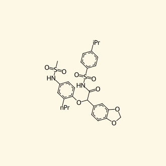 CCCc1cc(NS(C)(=O)=O)ccc1OC(C(=O)NS(=O)(=O)c1ccc(C(C)C)cc1)c1ccc2c(c1)OCO2